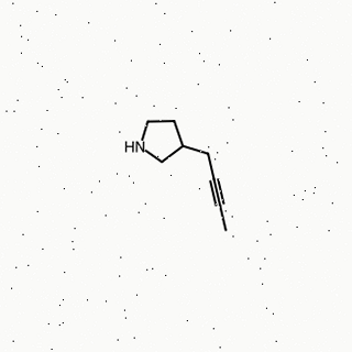 CC#CCC1CCNC1